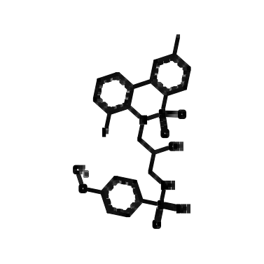 Cc1ccc2c(c1)-c1cccc(F)c1N(CC(O)CNS(=N)(=O)c1ccc(OC(F)(F)F)cc1)S2(=O)=O